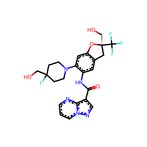 O=C(Nc1cc2c(cc1N1CCC(F)(CO)CC1)O[C@@](CO)(C(F)(F)F)C2)c1cnn2cccnc12